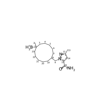 BC1(C)CCCCCC(Cn2nc(C)cc2C(N)=O)CCCCC1